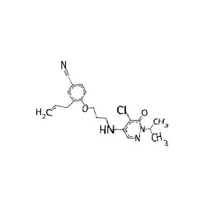 C=CCc1cc(C#N)ccc1OCCCNc1cnn(C(C)C)c(=O)c1Cl